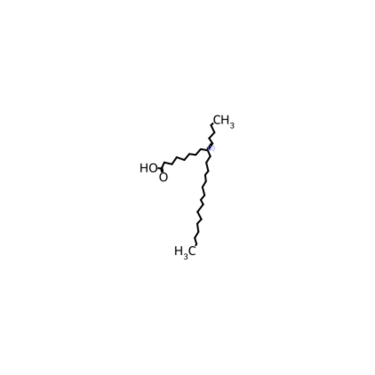 CCCC/C=C(/CCCCCCCCCCCCCCCC)CCCCCCCC(=O)O